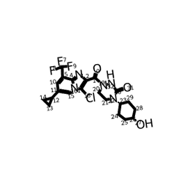 O=C(c1nc2c(C(F)(F)F)cc(C3CC3)cn2c1Cl)N1CCN([C@H]2CC[C@H](O)CC2)C(=O)N1